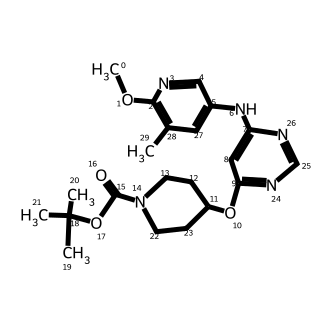 COc1ncc(Nc2cc(OC3CCN(C(=O)OC(C)(C)C)CC3)ncn2)cc1C